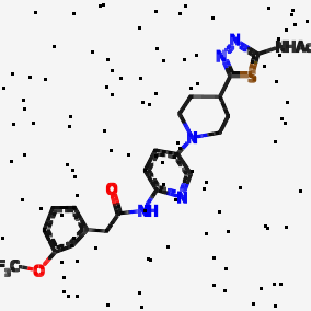 CC(=O)Nc1nnc(C2CCN(c3ccc(NC(=O)Cc4cccc(OC(F)(F)F)c4)nc3)CC2)s1